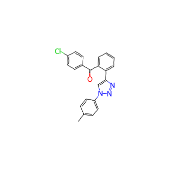 Cc1ccc(-n2cc(-c3ccccc3C(=O)c3ccc(Cl)cc3)nn2)cc1